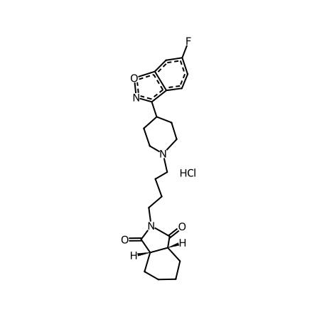 Cl.O=C1[C@H]2CCCC[C@H]2C(=O)N1CCCCN1CCC(c2noc3cc(F)ccc23)CC1